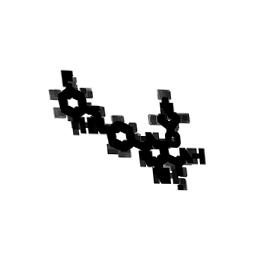 CC(=N)c1c(N)nc(-c2ccc(NSc3cc(F)ccc3F)cc2)nc1OC1CN(C)C1